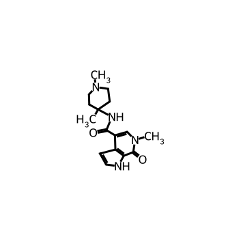 CN1CCC(C)(NC(=O)c2cn(C)c(=O)c3[nH]ccc23)CC1